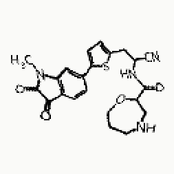 CN1C(=O)C(=O)c2ccc(-c3ccc(CC(C#N)NC(=O)C4CNCCCO4)s3)cc21